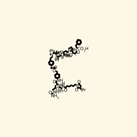 CC[C@H](C)[C@@H]([C@@H](CC(=O)N1CCC[C@H]1[C@H](OC)[C@@H](C)C(=O)N[C@@H](Cc1ccccc1)C(=O)O)OC)N(C)C(=O)[C@@H](NC(=O)[C@H](C(C)C)N(C)CCc1ccc(N(C)C(=O)OCc2ccc(NC(=O)[C@H](CCCNC(N)=O)NC(=O)[C@@H](NC(=O)CCCCCN3C(=O)CC(C(C)C)C3=O)C(C)C)cc2)cc1)C(C)C